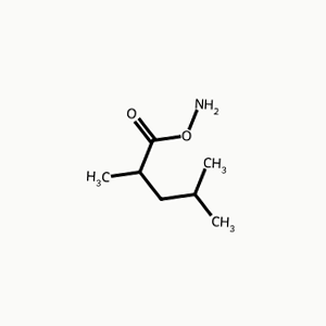 CC(C)CC(C)C(=O)ON